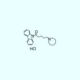 Cl.O=C(CCCCN1CCCCCC1)n1c2ccccc2c2ccccc21